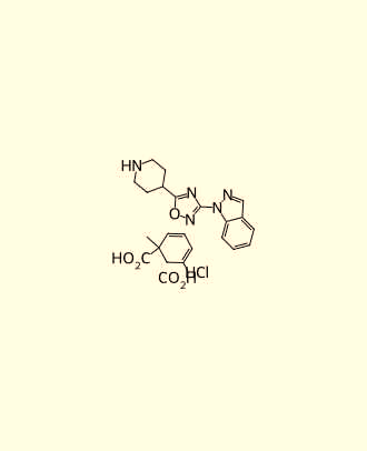 CC1(C(=O)O)C=CC=C(C(=O)O)C1.Cl.c1ccc2c(c1)cnn2-c1noc(C2CCNCC2)n1